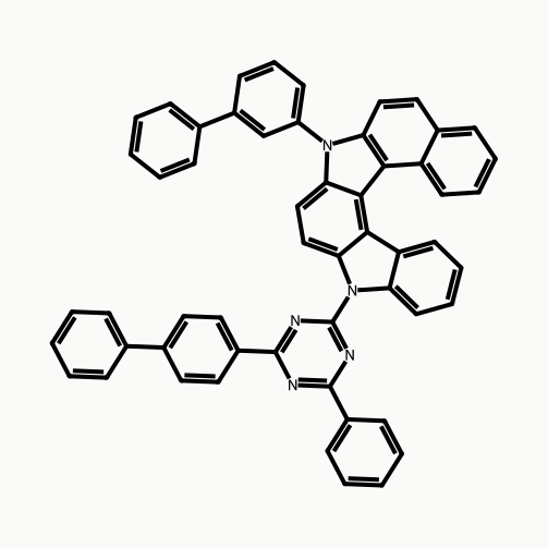 c1ccc(-c2ccc(-c3nc(-c4ccccc4)nc(-n4c5ccccc5c5c6c7c8ccccc8ccc7n(-c7cccc(-c8ccccc8)c7)c6ccc54)n3)cc2)cc1